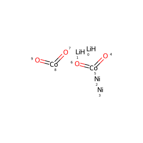 [LiH].[LiH].[Ni].[Ni].[O]=[Co]=[O].[O]=[Co]=[O]